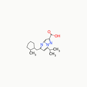 CC(C)c1cc(CC2CCCCC2C)nc2cc(C(=O)O)nn12